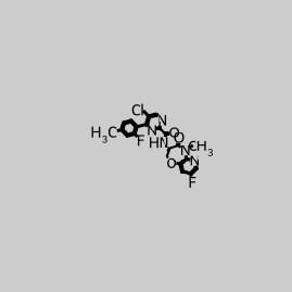 Cc1ccc(-c2nc(C(=O)N[C@H]3COc4cc(F)cnc4N(C)C3=O)ncc2Cl)c(F)c1